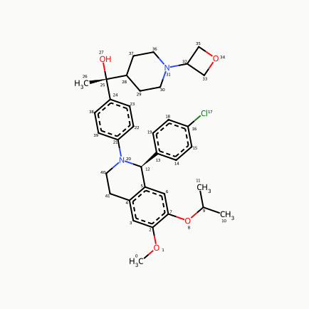 COc1cc2c(cc1OC(C)C)[C@H](c1ccc(Cl)cc1)N(c1ccc([C@](C)(O)C3CCN(C4COC4)CC3)cc1)CC2